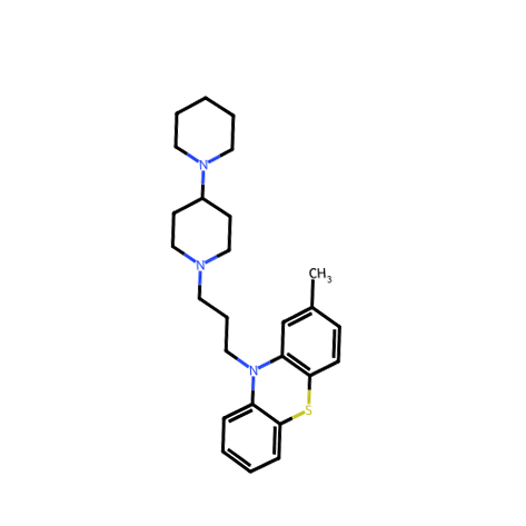 Cc1ccc2c(c1)N(CCCN1CCC(N3CCCCC3)CC1)c1ccccc1S2